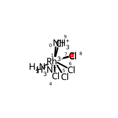 [NH3+][Rh-3]([NH3+])([NH3+])([Cl])([Cl])([Cl])([Cl])([Cl])[Cl]